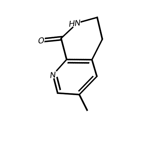 Cc1cnc2c(c1)CCNC2=O